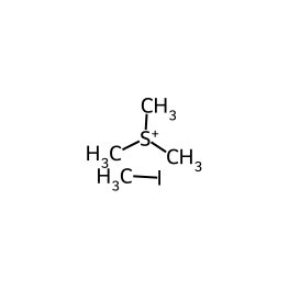 CI.C[S+](C)C